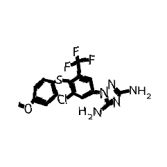 COc1ccc(Sc2c(Cl)cc(-n3nc(N)nc3N)cc2C(F)(F)F)cc1